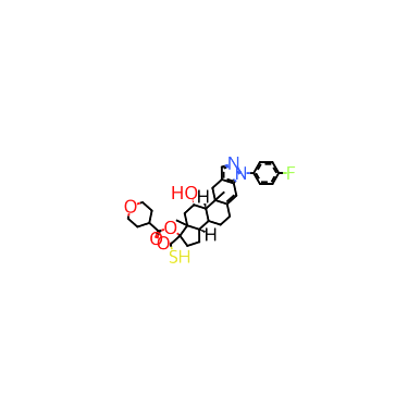 CC12Cc3cnn(-c4ccc(F)cc4)c3C=C1CCC1[C@@H]2[C@@H](O)CC2(C)[C@H]1CCC2(OC(=O)C1CCOCC1)C(=O)S